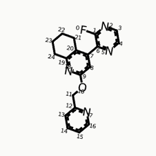 Fc1nccnc1-c1cc(OCc2ccccn2)nc2c1CCCC2